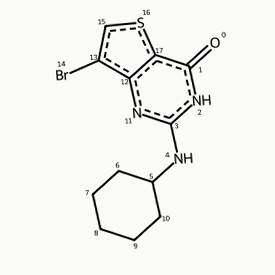 O=c1[nH]c(NC2CCCCC2)nc2c(Br)csc12